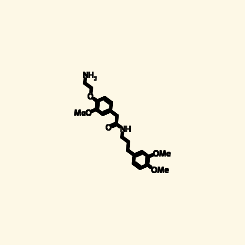 COc1ccc(CCCNC(=O)Cc2ccc(OCCN)c(OC)c2)cc1OC